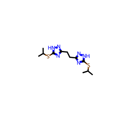 CC(C)Sc1nc(CCc2n[nH]c(SC(C)C)n2)n[nH]1